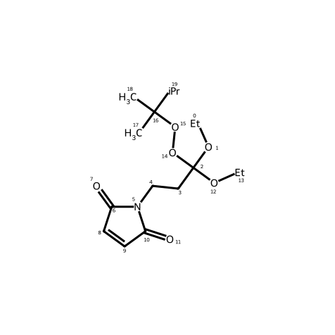 CCOC(CCN1C(=O)C=CC1=O)(OCC)OOC(C)(C)C(C)C